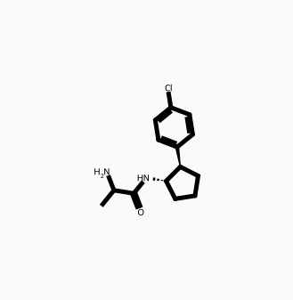 CC(N)C(=O)N[C@H]1CCC[C@@H]1c1ccc(Cl)cc1